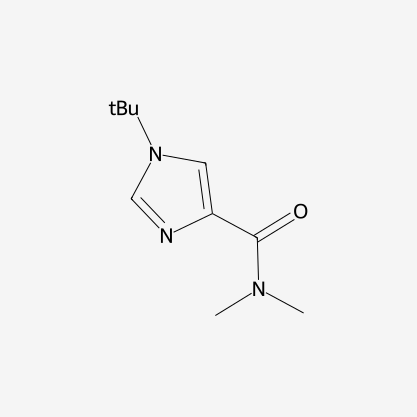 CN(C)C(=O)c1cn(C(C)(C)C)cn1